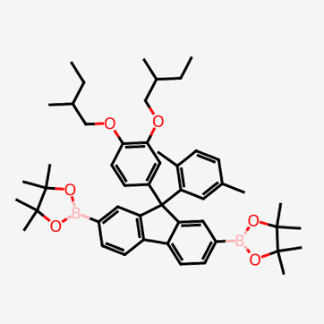 CCC(C)COc1ccc(C2(c3cc(C)ccc3C)c3cc(B4OC(C)(C)C(C)(C)O4)ccc3-c3ccc(B4OC(C)(C)C(C)(C)O4)cc32)cc1OCC(C)CC